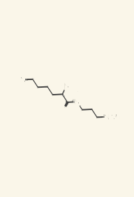 CNCCCNC(=O)C(N)CCCCN